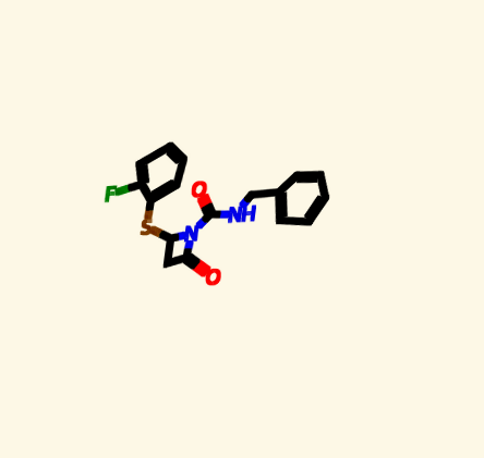 O=C1CC(Sc2ccccc2F)N1C(=O)NCc1ccccc1